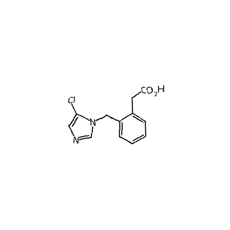 O=C(O)Cc1ccccc1Cn1cncc1Cl